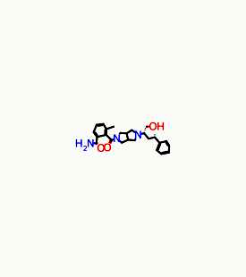 Cc1cccc(C(N)=O)c1C(=O)N1CC2CN([C@H](CO)C[CH]c3ccccc3)CC2C1